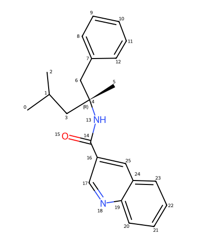 CC(C)C[C@](C)(Cc1ccccc1)NC(=O)c1cnc2ccccc2c1